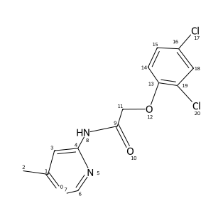 C=C(C)/C=C(\N=C/C)NC(=O)COc1ccc(Cl)cc1Cl